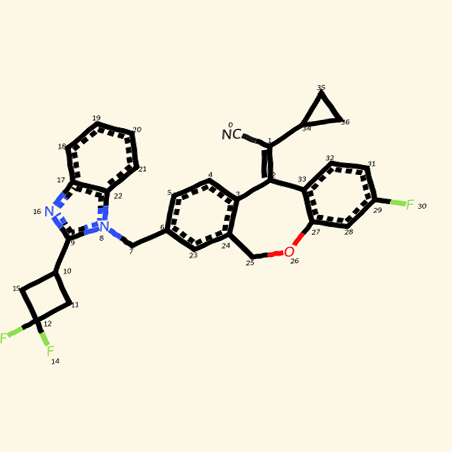 N#C/C(=C1\c2ccc(Cn3c(C4CC(F)(F)C4)nc4ccccc43)cc2COc2cc(F)ccc21)C1CC1